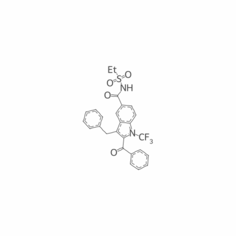 CCS(=O)(=O)NC(=O)c1ccc2c(c1)c(Cc1ccccc1)c(C(=O)c1ccccc1)n2C(F)(F)F